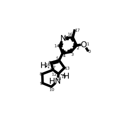 COc1cc(C2=C[C@@H]3CCCN[C@@H]3C2)cnc1C